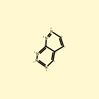 [c]1cc2cnnnc2nn1